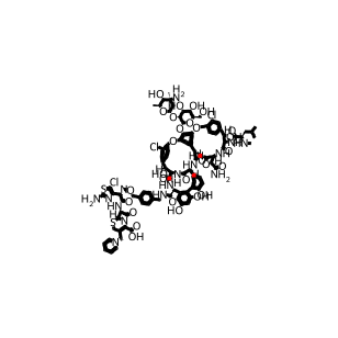 CN[C@H](CC(C)C)C(=O)NC1C(=O)N[C@@H](CC(N)=O)C(=O)N[C@H]2C(=O)N[C@H]3C(=O)N[C@H](C(=O)N[C@H](C(=O)NCc4ccc(CO/N=C(\C(=O)N[C@@H]5C(=O)N6C(C(=O)O)=C(C[n+]7ccccc7)CS[C@H]56)c5nc(N)sc5Cl)cc4)c4cc(O)cc(O)c4-c4cc3ccc4O)[C@H](O)c3ccc(c(Cl)c3)Oc3cc2cc(c3O[C@@H]2O[C@H](CO)[C@@H](O)[C@H](O)[C@H]2O[C@H]2C[C@](C)(N)[C@H](O)[C@H](C)O2)Oc2ccc(cc2Cl)[C@H]1O